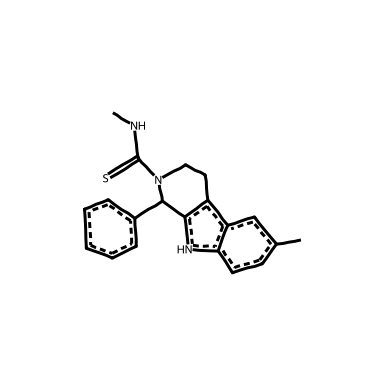 CNC(=S)N1CCc2c([nH]c3ccc(C)cc23)C1c1ccccc1